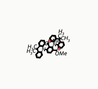 COC(=O)c1ccc(N2c3ccccc3C(C)(C)c3ccccc32)c(C(=O)OC)c1N1c2ccccc2C(C)(C)c2ccccc21